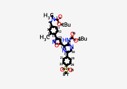 Cc1cc(CN(C)C(=O)OC(C)(C)C)ccc1-c1cc(-c2nc(-c3ccc(S(=O)(=O)C(C)C)cc3)cnc2NC(=O)OC(C)(C)C)on1